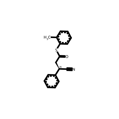 Cc1ccccc1SC(=O)C[C@@H](C#N)c1ccccc1